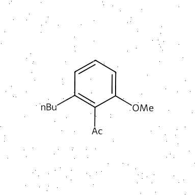 CCCCc1cccc(OC)c1C(C)=O